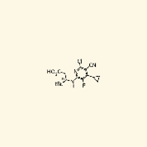 CC(C)(C)[C@@H](CC(=O)O)Nc1nc(Cl)c(C#N)c(C2CC2)c1F